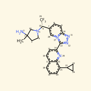 CC1(N)CCN([C@@H](c2ccc3nnc(-c4ccc5cccc(C6CC6)c5n4)n3c2)C(F)(F)F)C1